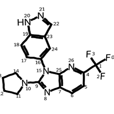 FC(F)(F)c1ccc2nc(N3CCCC3)n(-c3ccc4[nH]ncc4c3)c2n1